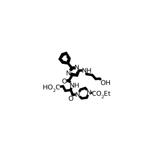 CCOC(=O)N1CCN(C(=O)C(CCC(=O)O)NC(=O)c2cc(NCCCCO)nc(-c3ccccc3)n2)CC1